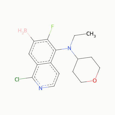 Bc1cc2c(Cl)nccc2c(N(CC)C2CCOCC2)c1F